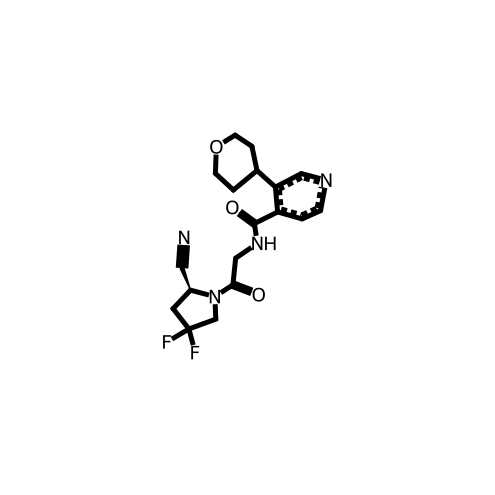 N#C[C@@H]1CC(F)(F)CN1C(=O)CNC(=O)c1ccncc1C1CCOCC1